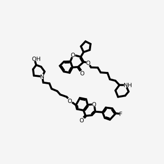 O=c1c(OCCCCCCC2CCCCN2)c(C2CCCC2)oc2ccccc12.O=c1cc(-c2ccc(F)cc2)oc2ccc(OCCCCCCN3CCC(O)CC3)cc12